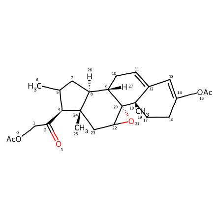 CC(=O)OCC(=O)[C@H]1C(C)C[C@H]2[C@@H]3CC=C4C=C(OC(C)=O)CC[C@]4(C)[C@]34OC4C[C@]12C